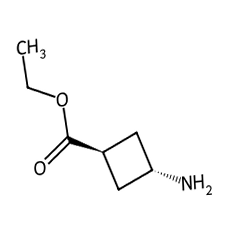 CCOC(=O)[C@H]1C[C@H](N)C1